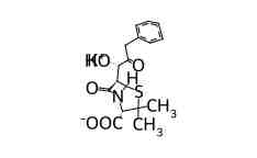 CC1(C)S[C@@H]2[C@H]([C@H](O)C(=O)Cc3ccccc3)C(=O)N2[C@H]1C(=O)[O-].[K+]